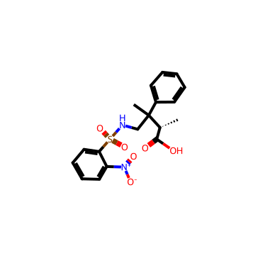 C[C@H](C(=O)O)C(C)(CNS(=O)(=O)c1ccccc1[N+](=O)[O-])c1ccccc1